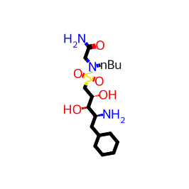 CCCCN(CC(N)=O)S(=O)(=O)C[C@H](O)[C@H](O)[C@@H](N)CC1CCCCC1